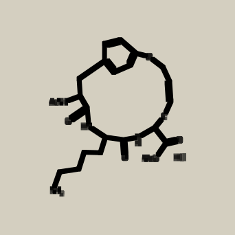 COC(=O)C1CC=CCOc2ccc(cc2)CC(NC(C)=O)C(=O)NC(CCCCN)C(=O)N1.Cl